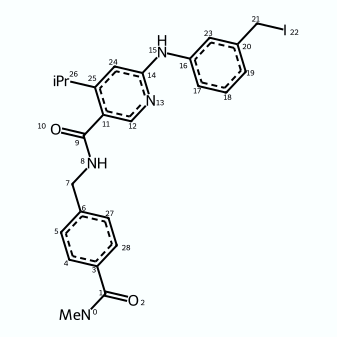 CNC(=O)c1ccc(CNC(=O)c2cnc(Nc3cccc(CI)c3)cc2C(C)C)cc1